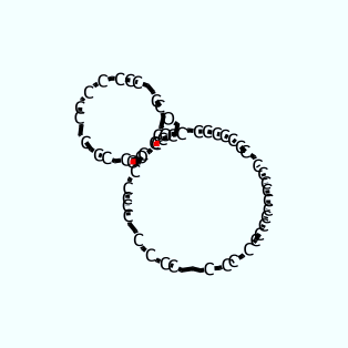 O=C1CCCCCCCCCCCCCCCCCCCCCCCCCCCCCCCCCCCCCCCCCCCCCCC2(CCCCCCCCCCCCCCCCCCCCCCCCCC3(CC2)OCCO3)O1